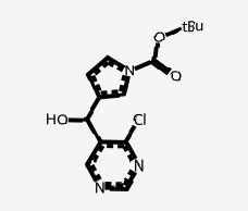 CC(C)(C)OC(=O)n1ccc(C(O)c2cncnc2Cl)c1